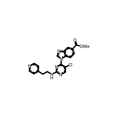 COC(=O)c1ccc2c(c1)ncn2-c1nc(NCCc2ccncc2)ncc1Cl